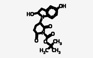 CC(C)(C)OC(=O)N1C(=O)CCC(N2c3ccc(O)cc3CC2O)C1=O